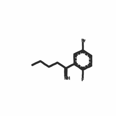 CCCCC(=N)c1cc(Br)ccc1F